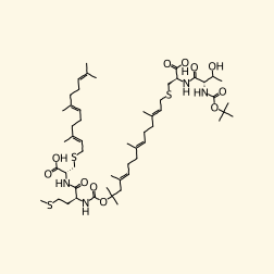 CSCC[C@H](NC(=O)OC(C)(C)C/C(C)=C/CC/C(C)=C/CC/C(C)=C/CSC[C@H](NC(=O)[C@@H](NC(=O)OC(C)(C)C)C(C)O)C(=O)O)C(=O)N[C@@H](CSC/C=C(\C)CC/C=C(\C)CCC=C(C)C)C(=O)O